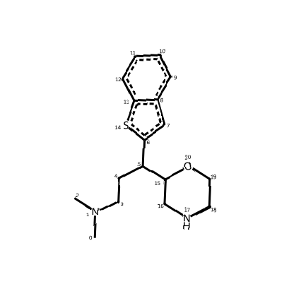 CN(C)CCC(c1cc2ccccc2s1)C1CNCCO1